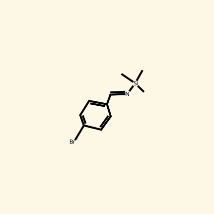 C[Si](C)(C)N=Cc1ccc(Br)cc1